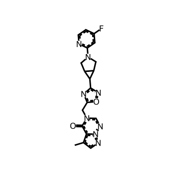 Cc1cnn2ncn(Cc3nc(C4C5CN(c6cc(F)ccn6)CC54)no3)c(=O)c12